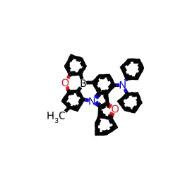 Cc1cc2c3c(c1)-n1c4c(ccc(N(c5ccccc5)c5ccccc5)c4c4oc5ccccc5c41)B3c1ccccc1O2